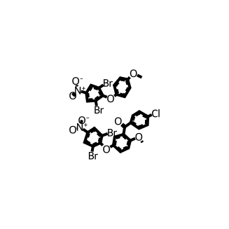 COc1ccc(Oc2c(Br)cc([N+](=O)[O-])cc2Br)cc1.COc1ccc(Oc2c(Br)cc([N+](=O)[O-])cc2Br)cc1C(=O)c1ccc(Cl)cc1